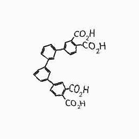 O=C(O)c1ccc(-c2cccc(-c3cccc(-c4ccc(C(=O)O)c(C(=O)O)c4)c3)c2)cc1C(=O)O